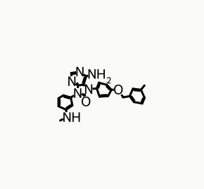 CNc1cccc(-n2c(=O)n(-c3ccc(OCc4cccc(C)c4)cc3)c3c(N)ncnc32)c1